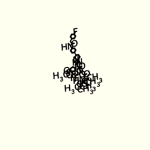 CC(C)C(NC(=O)OC(C)(C)C)C(=O)OCOC(=O)N(c1nc2ccc(-c3ccc(NC(=O)Cc4ccc(F)cc4)cc3)cn2n1)c1ccc(S(C)(=O)=O)cc1OCC(F)(F)F